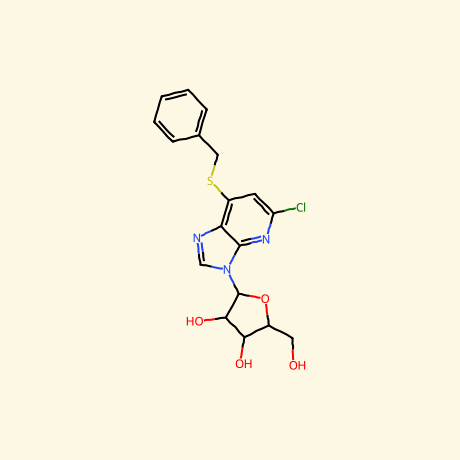 OCC1OC(n2cnc3c(SCc4ccccc4)cc(Cl)nc32)C(O)C1O